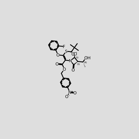 C[C@@H](O)[C@H]1C(=O)N(C(C(=O)OCc2ccc([N+](=O)[O-])cc2)=C(Oc2ccccc2F)SC(=O)C(C)(C)C)[C@H]1Cl